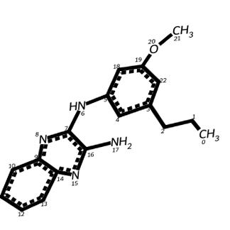 CCCc1cc(Nc2nc3ccccc3nc2N)cc(OC)c1